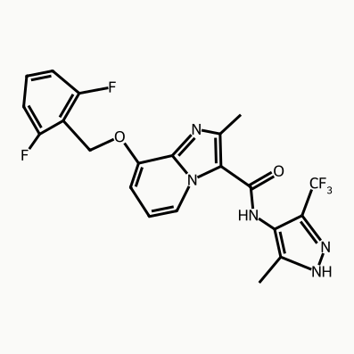 Cc1nc2c(OCc3c(F)cccc3F)cccn2c1C(=O)Nc1c(C(F)(F)F)n[nH]c1C